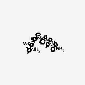 COc1ccc(C2CCCCC2)c(N)c1.COc1cccc(N)c1C1CCCCCCC1.Cc1cc(C)c(C2CCCC2)c(N)c1.Cc1ccc(C2CCCCC2)c(N)c1.Cc1ccc(N)c(C2CCCCC2)c1